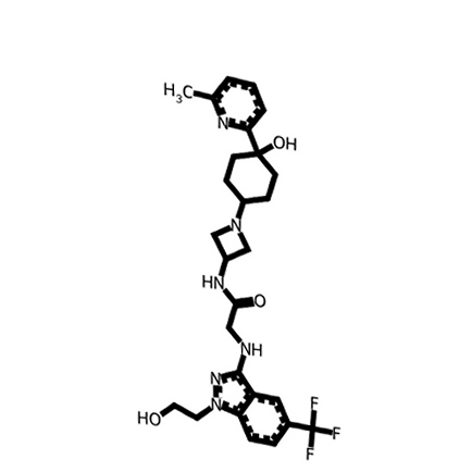 Cc1cccc(C2(O)CCC(N3CC(NC(=O)CNc4nn(CCO)c5ccc(C(F)(F)F)cc45)C3)CC2)n1